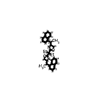 CCC(CC)(C1=NC(C(C)c2cccc3ccccc23)CO1)C1=NC(C(C)c2cccc3ccccc23)CO1